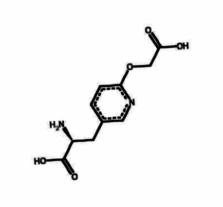 N[C@@H](Cc1ccc(OCC(=O)O)nc1)C(=O)O